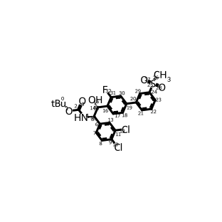 CC(C)(C)OC(=O)N[C@H](c1ccc(Cl)c(Cl)c1)[C@H](O)c1ccc(-c2cccc(S(C)(=O)=O)c2)cc1F